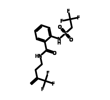 C=C(CCNC(=O)c1ccccc1NS(=O)(=O)CC(F)(F)F)C(F)(F)F